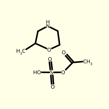 CC(=O)OS(=O)(=O)O.CC1CNCCO1